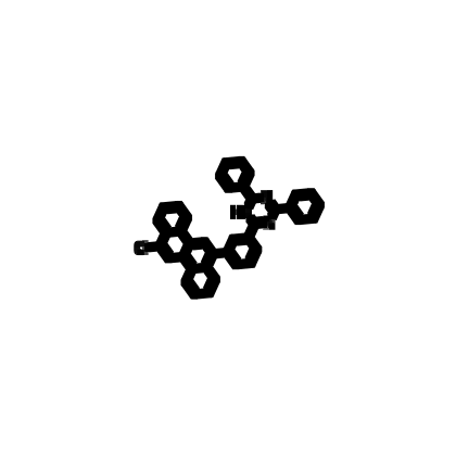 Clc1cc2c3ccccc3c(-c3cccc(C4=NC(c5ccccc5)=NC(c5ccccc5)N4)c3)cc2c2ccccc12